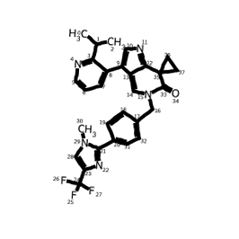 CC(C)c1ncccc1C1=CN=C2C1=CN(Cc1ccc(-c3nc(C(F)(F)F)cn3C)cc1)C(=O)C21CC1